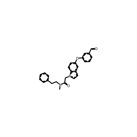 CN(CCc1ccccc1)C(=O)Cn1ccc2cc(Oc3cccc(C=O)c3)ccc21